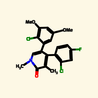 COc1cc(OC)c(Cl)c(-c2cn(C)c(=O)c(C)c2-c2ccc(F)cc2Cl)c1